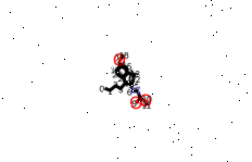 CCCCC1=C(/C=C/C(=O)OC)CCc2cc(OC)ccc21